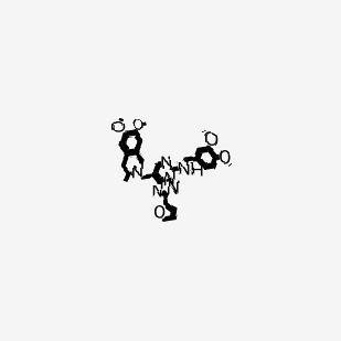 COc1ccc(CNc2ncc(CN3Cc4cc(OC)c(OC)cc4CC3C)c3nc(-c4ccco4)nn23)cc1OC